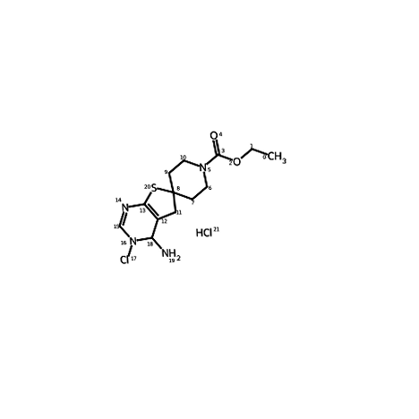 CCOC(=O)N1CCC2(CC1)CC1=C(N=CN(Cl)C1N)S2.Cl